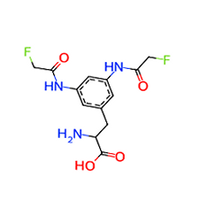 NC(Cc1cc(NC(=O)CF)cc(NC(=O)CF)c1)C(=O)O